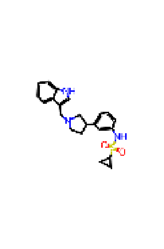 O=S(=O)(Nc1cccc(C2CCN(Cc3c[nH]c4ccccc34)C2)c1)C1CC1